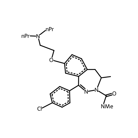 CCCN(CCC)CCOc1ccc2c(c1)C(c1ccc(Cl)cc1)=NN(C(=O)NC)C(C)C2